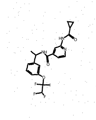 CC(NC(=O)c1ccnc(NC(=O)C2CC2)c1)c1cccc(OC(F)(I)C(F)F)c1